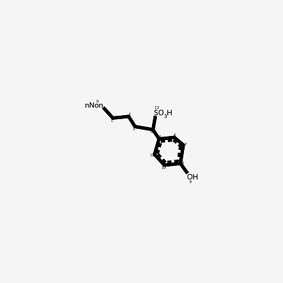 CCCCCCCCCCCCC(c1ccc(O)cc1)S(=O)(=O)O